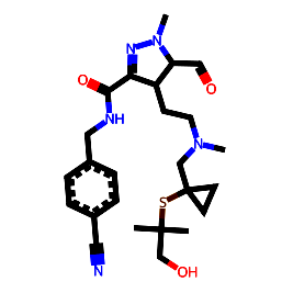 CN(CCC1C(C(=O)NCc2ccc(C#N)cc2)=NN(C)C1C=O)CC1(SC(C)(C)CO)CC1